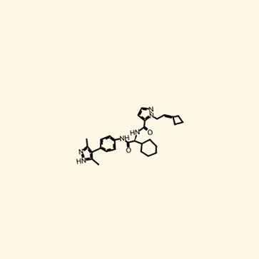 Cc1n[nH]c(C)c1-c1ccc(NC(=O)[C@@H](NC(=O)c2ccnn2CC=C2CCC2)C2CCCCC2)cc1